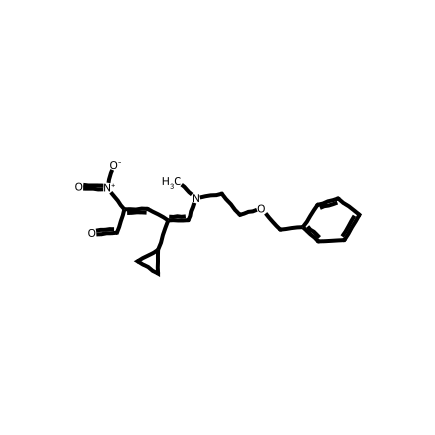 CN(/C=C(\C=C(/C=O)[N+](=O)[O-])C1CC1)CCOCc1ccccc1